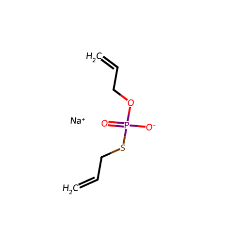 C=CCOP(=O)([O-])SCC=C.[Na+]